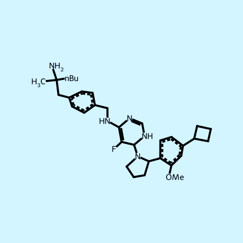 CCCCC(C)(N)Cc1ccc(CNC2=C(F)C(N3CCCC3c3ccc(C4CCC4)cc3OC)NC=N2)cc1